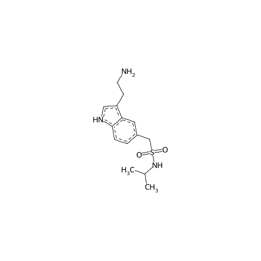 CC(C)NS(=O)(=O)Cc1ccc2[nH]cc(CCN)c2c1